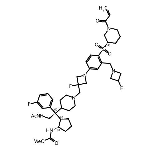 C=CC(=O)N1CCC[C@@H](S(=O)(=O)c2ccc(N3CC(F)(CN4CCC([C@@](CNC(C)=O)(c5cccc(F)c5)[C@H]5CCC[C@@H]5NC(=O)OC)CC4)C3)cc2CN2CC(F)C2)C1